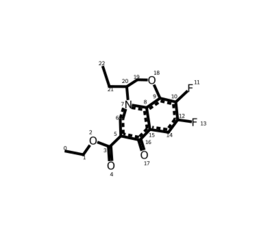 CCOC(=O)c1cn2c3c(c(F)c(F)cc3c1=O)OCC2CC